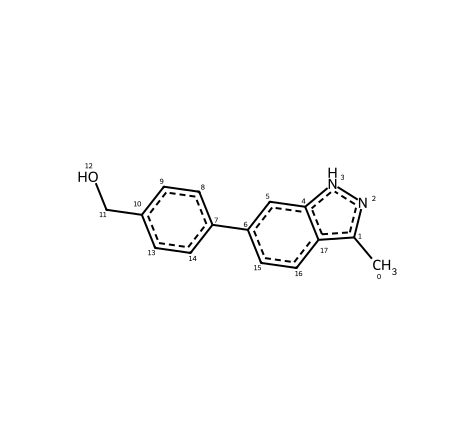 Cc1n[nH]c2cc(-c3ccc(CO)cc3)ccc12